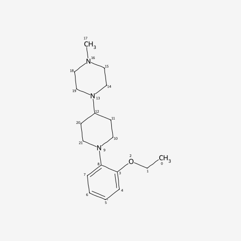 CCOc1c[c]ccc1N1CCC(N2CCN(C)CC2)CC1